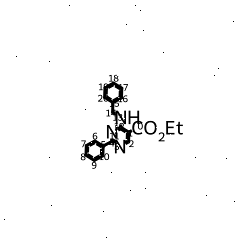 CCOC(=O)c1cnc(-c2ccccc2)nc1NCc1ccccc1